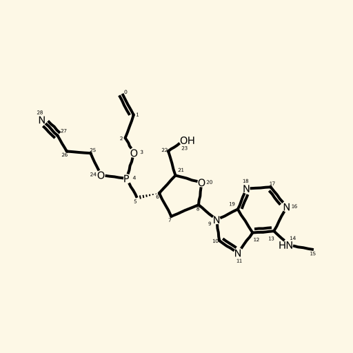 C=CCOP(C[C@H]1CC(n2cnc3c(NC)ncnc32)OC1CO)OCCC#N